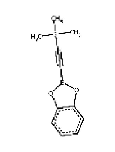 C[Si](C)(C)C#CB1Oc2ccccc2O1